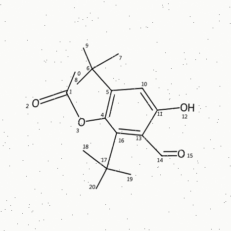 CC(=O)Oc1c(C(C)(C)C)cc(O)c(C=O)c1C(C)(C)C